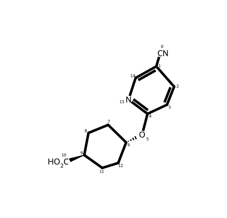 N#Cc1ccc(O[C@H]2CC[C@H](C(=O)O)CC2)nc1